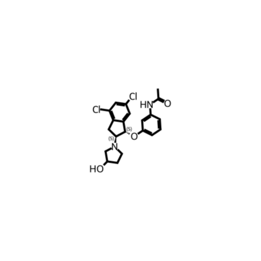 CC(=O)Nc1cccc(O[C@H]2c3cc(Cl)cc(Cl)c3C[C@@H]2N2CCC(O)C2)c1